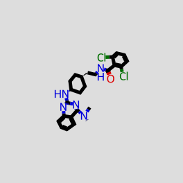 CN(C)c1nc(N[C@H]2CC[C@@H](CCNC(=O)c3c(Cl)cccc3Cl)CC2)nc2ccccc12